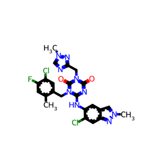 Cc1cc(F)c(Cl)cc1Cn1c(Nc2cc3cn(C)nc3cc2Cl)nc(=O)n(Cc2ncn(C)n2)c1=O